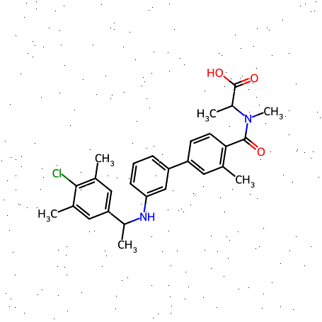 Cc1cc(-c2cccc(NC(C)c3cc(C)c(Cl)c(C)c3)c2)ccc1C(=O)N(C)C(C)C(=O)O